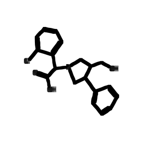 O=C(O)C(c1ccccc1Cl)N1CC(CO)C(c2ccccc2)C1